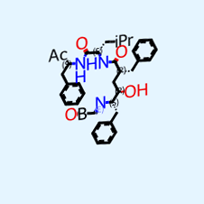 CC(=O)[C@H](Cc1ccccc1)NC(=O)[C@H](CC(C)C)NC(=O)[C@H](Cc1ccccc1)C[C@@H](O)[C@H](Cc1ccccc1)/N=C/B=O